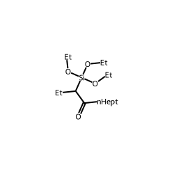 CCCCCCCC(=O)C(CC)[Si](OCC)(OCC)OCC